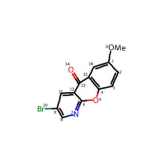 COc1ccc2oc3ncc(Br)cc3c(=O)c2c1